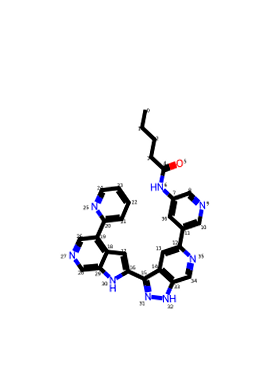 CCCCC(=O)Nc1cncc(-c2cc3c(-c4cc5c(-c6ccccn6)cncc5[nH]4)n[nH]c3cn2)c1